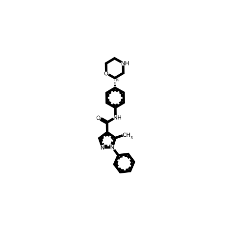 Cc1c(C(=O)Nc2ccc([C@H]3CNCCO3)cc2)cnn1-c1ccccc1